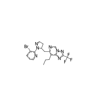 CCCc1c(CC2CC=NN2c2ncccc2Br)ncn2nc(C(F)(F)F)nc12